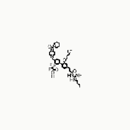 CCCCNC(=N)NC(=O)CCc1ccc(-c2ccc(CN3CCN(C(=O)N4CCCCC4)CC3)cc2)c(OCCCOC)c1.O=C(O)C(F)(F)F